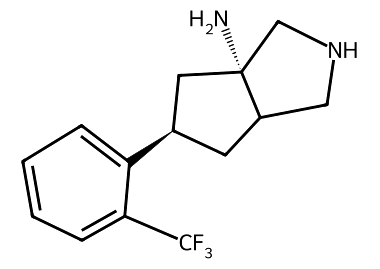 N[C@]12CNCC1C[C@@H](c1ccccc1C(F)(F)F)C2